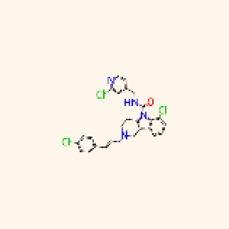 O=C(NCc1ccnc(Cl)c1)n1c2c(c3cccc(Cl)c31)CN(CC=Cc1ccc(Cl)cc1)CC2